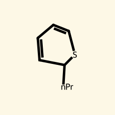 CCCC1C=CC=CS1